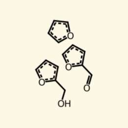 O=Cc1ccco1.OCc1ccco1.c1ccoc1